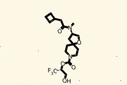 CN(C(=O)CC1CCC1)[C@H]1COC2(CCN(C(=O)O[C@H](CO)C(F)(F)F)CC2)C1